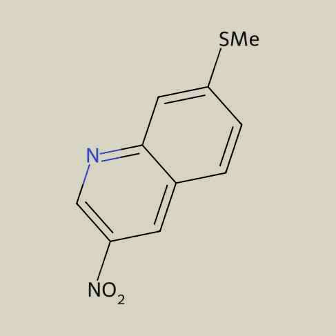 CSc1ccc2cc([N+](=O)[O-])cnc2c1